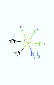 CCCS(N)(F)(F)(F)CCC